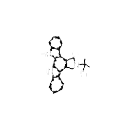 CCC(C)(C)N1Cc2c(c3c4ccccc4[nH]c3c3[nH]c4ccccc4c23)C1=O